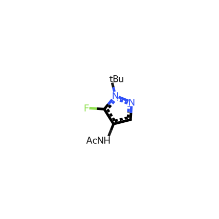 CC(=O)Nc1cnn(C(C)(C)C)c1F